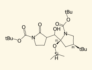 C[SiH](C)O[C@]1(C(O)C2CCN(C(=O)OC(C)(C)C)C2=O)C[C@H](C(C)(C)C)CN1C(=O)OC(C)(C)C